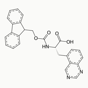 O=C(N[C@@H](Cc1cccc2ncncc12)C(=O)O)OCC1c2ccccc2-c2ccccc21